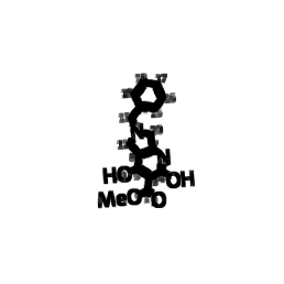 COC(=O)c1c(O)nc2c(c1O)CN(Cc1ccccc1)C2